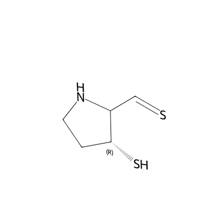 S=CC1NCC[C@H]1S